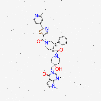 Cc1cc(-c2ncc(C(=O)N3CC[C@@H](C(=O)N4CCC(O)(Cn5cnc6c(ccn6C)c5=O)CC4)[C@H](c4ccccc4)C3)s2)ccn1